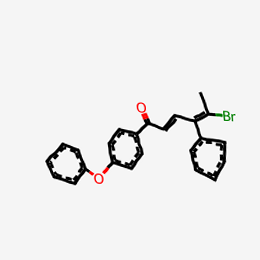 C/C(Br)=C(\C=C\C(=O)c1ccc(Oc2ccccc2)cc1)c1ccccc1